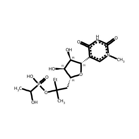 CCC(C)(C[C@H]1O[C@@H](c2cn(C)c(=O)[nH]c2=O)[C@H](O)[C@@H]1O)OP(=O)(O)C(C)O